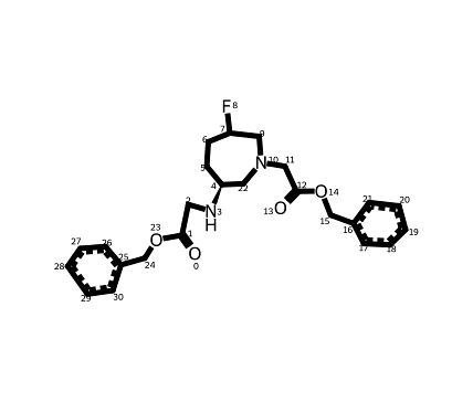 O=C(CN[C@H]1CCC(F)CN(CC(=O)OCc2ccccc2)C1)OCc1ccccc1